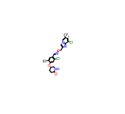 CCc1cc(/C=N/OCc2cn3cc(C(F)(F)F)cc(Cl)c3n2)c(Cl)cc1OC1CCC(=O)NC1